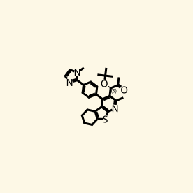 CC(=O)[C@@H](OC(C)(C)C)c1c(C)nc2sc3c(c2c1-c1ccc(-c2nccn2C)cc1)CCCC3